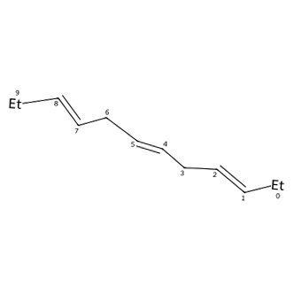 CCC=CCC=CCC=CCC